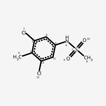 Cc1c(Cl)cc(NS(C)(=O)=O)cc1Cl